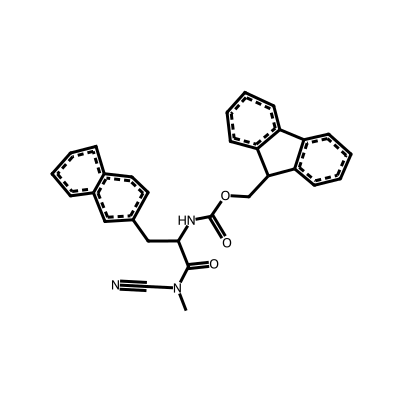 CN(C#N)C(=O)C(Cc1ccc2ccccc2c1)NC(=O)OCC1c2ccccc2-c2ccccc21